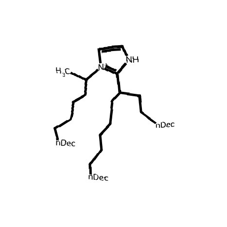 CCCCCCCCCCCCCCCC(CCCCCCCCCCCC)c1[nH]cc[n+]1C(C)CCCCCCCCCCCCCC